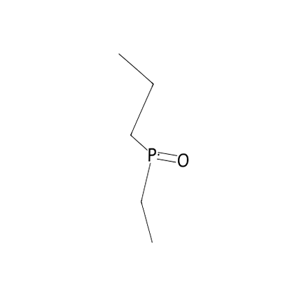 CCC[P](=O)CC